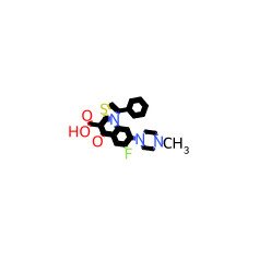 CN1CCN(c2cc3c(cc2F)c(=O)c(C(=O)O)c2scc(-c4ccccc4)n23)CC1